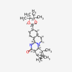 CC1(C)OB(c2ccc3c(ccn4c5c(c(=O)nc34)C3CCC5(C)C3(C)C)c2)OC1(C)C